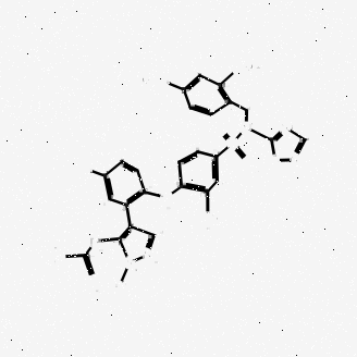 COc1ccc(CN(c2ncns2)S(=O)(=O)c2ccc(Oc3ccc(I)cc3-c3cnn(C(C)(C)C)c3NC(=O)C(F)(F)F)c(C#N)c2)c(OC)c1